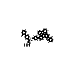 CC1C=CC=CC1C1=CC=C(C(=C/C=N)/N=C/c2ccc(-c3ccc4c(c3)C3(c5ccccc5-c5ccccc53)c3ccc5c(sc6ccccc65)c3-4)cc2)CC1